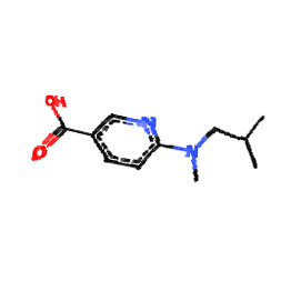 CC(C)CN(C)c1ccc(C(=O)O)cn1